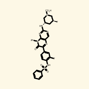 CC(C)n1c(=O)c(-c2ccc(NS(=O)(=O)c3ccccc3)c(F)c2)nc2cnc(N[C@H]3C[C@H](F)CN(C(=O)O)C3)nc21